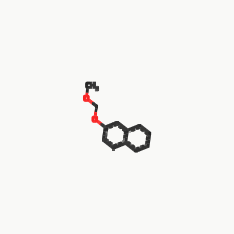 COCOc1c[c]c2ccccc2c1